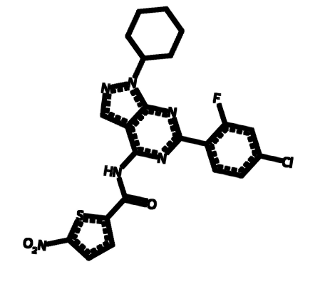 O=C(Nc1nc(-c2ccc(Cl)cc2F)nc2c1cnn2C1CCCCC1)c1ccc([N+](=O)[O-])s1